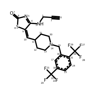 C#CCNC1=NC(=O)SC1=CC1CCN(Cc2cc(C(F)(F)F)ccc2C(F)(F)F)CC1